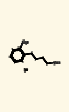 CCCCCCCCCCCCCc1ccccc1S(=O)(=O)O.[Na]